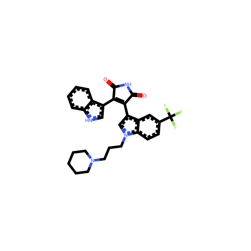 O=C1NC(=O)C(c2cn(CCCN3CCCCC3)c3ccc(C(F)(F)F)cc23)=C1c1c[nH]c2ccccc12